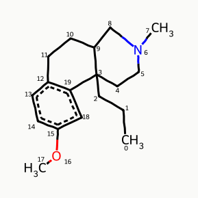 CCCC12CCN(C)CC1CCc1ccc(OC)cc12